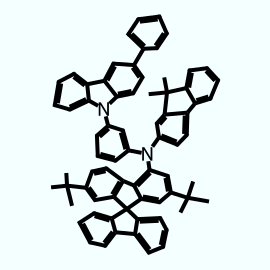 CC(C)(C)c1ccc2c(c1)C1(c3ccccc3-c3ccccc31)c1cc(C(C)(C)C)cc(N(c3cccc(-n4c5ccccc5c5cc(-c6ccccc6)ccc54)c3)c3ccc4c(c3)C(C)(C)c3ccccc3-4)c1-2